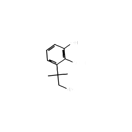 CC(C)(C)CC(C)(C)c1cccc(O)c1S(=O)(=O)O